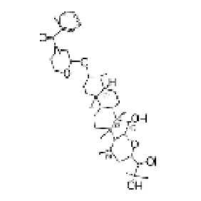 C[C@@H]1CC(C(O)C(C)(C)O)OC2C1C1(C)CCC34CC35CCC(OC3CN(C(=O)c6ccccn6)CCO3)C(C)(C)[C@@H]5CCC4[C@]1(C)[C@H]2O